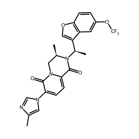 Cc1cn(-c2ccc3n(c2=O)C[C@@H](C)N([C@H](C)c2coc4ccc(OC(F)(F)F)cc24)C3=O)cn1